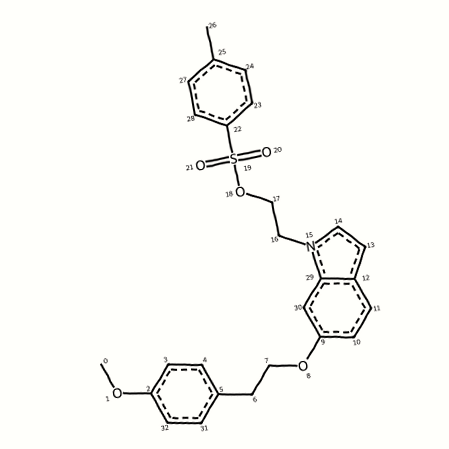 COc1ccc(CCOc2ccc3ccn(CCOS(=O)(=O)c4ccc(C)cc4)c3c2)cc1